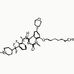 C[C@@H](Nc1nc(=O)n(C)c2c(OCCCCCCC=O)cc(N3CCOCC3)cc12)c1cccc(C(F)(F)C2CCNCC2)c1F